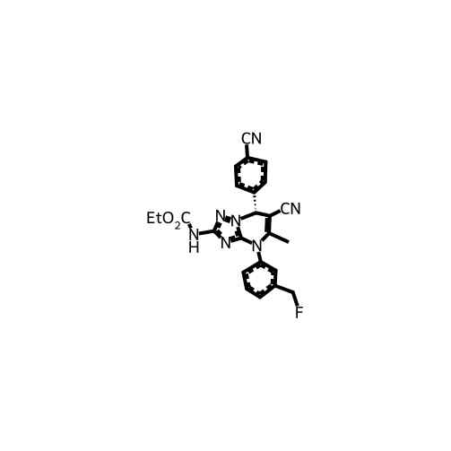 CCOC(=O)Nc1nc2n(n1)[C@H](c1ccc(C#N)cc1)C(C#N)=C(C)N2c1cccc(CF)c1